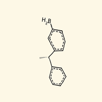 Bc1cccc([C@@H](C)c2ccccc2)c1